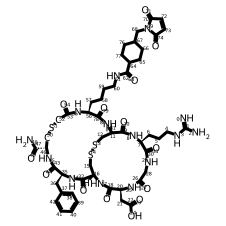 N=C(N)NCCC[C@@H]1NC(=O)[C@@H]2CSSC[C@H](NC(=O)[C@H](CC(=O)O)NC(=O)CNC1=O)C(=O)N[C@@H](Cc1ccccc1)C(=O)N[C@H](C(N)=O)CSCC(=O)N[C@@H](CCCCNC(=O)C1CCC(CN3C(=O)C=CC3=O)CC1)C(=O)N2